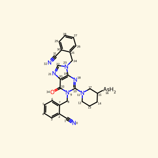 N#Cc1ccccc1Cn1c(N2CCCC([AsH2])C2)nc2c(ncn2Cc2ccccc2C#N)c1=O